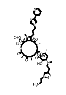 CC[C@H]1OC(=O)[C@H](C)C(=O)[C@H](C)[C@@H](O[C@@H]2O[C@H](C)C[C@H](N(C)CCc3cn(CCN)nn3)[C@H]2O)[C@](C)(OC)C[C@@H](C)C(=O)[C@@H]2C(CCCn3cnc(-c4cccnc4)c3)N(C)[C@H]2[C@]1(C)OC=O